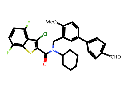 COc1ccc(-c2ccc(C=O)cc2)cc1CN(C(=O)c1sc2c(F)ccc(F)c2c1Cl)C1CCCCC1